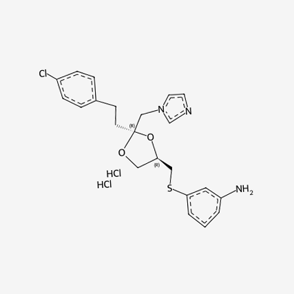 Cl.Cl.Nc1cccc(SC[C@H]2CO[C@@](CCc3ccc(Cl)cc3)(Cn3ccnc3)O2)c1